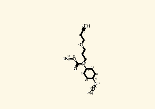 C#CCCOCCCN(C(=O)OC(C)(C)C)[C@H]1CC[C@@H](N=[N+]=[N-])CC1